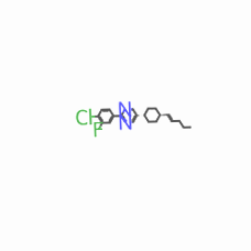 CCC/C=C/[C@H]1CC[C@H](c2cnc(-c3ccc(Cl)c(F)c3)nc2)CC1